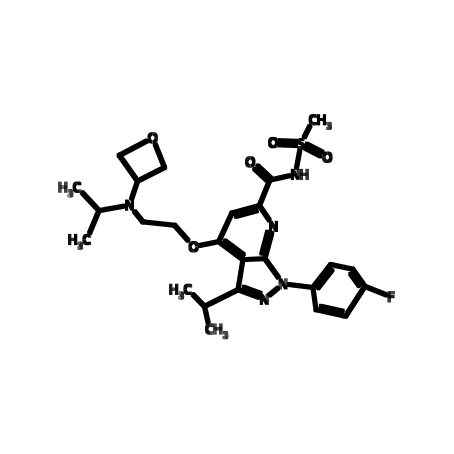 CC(C)c1nn(-c2ccc(F)cc2)c2nc(C(=O)NS(C)(=O)=O)cc(OCCN(C(C)C)C3COC3)c12